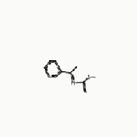 C=C(/N=C(\C)c1ccccc1)SC